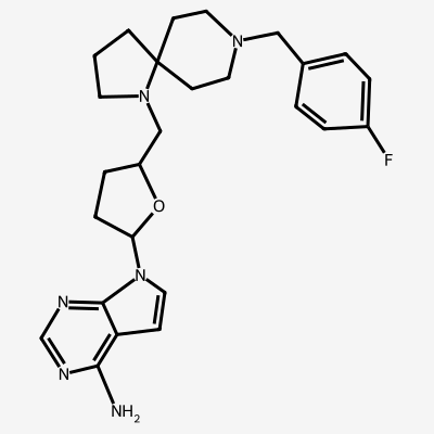 Nc1ncnc2c1ccn2C1CCC(CN2CCCC23CCN(Cc2ccc(F)cc2)CC3)O1